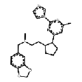 Cc1cc(C2CCCC2CCN(C)Cc2ccc3c(c2)OCO3)nc(-n2ccnc2)n1